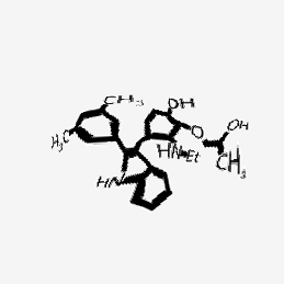 CCNc1c(-c2c(-c3cc(C)cc(C)c3)[nH]c3ccccc23)ccc(O)c1OCC(C)O